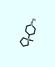 CC(C)N1CCC([N+]2(C)CCCC2)CC1